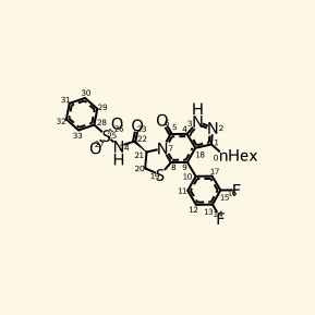 CCCCCCc1n[nH]c2c(=O)n3c(c(-c4ccc(F)c(F)c4)c12)SC[C@H]3C(=O)NS(=O)(=O)c1ccccc1